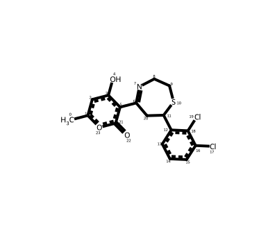 Cc1cc(O)c(C2=NCCSC(c3cccc(Cl)c3Cl)C2)c(=O)o1